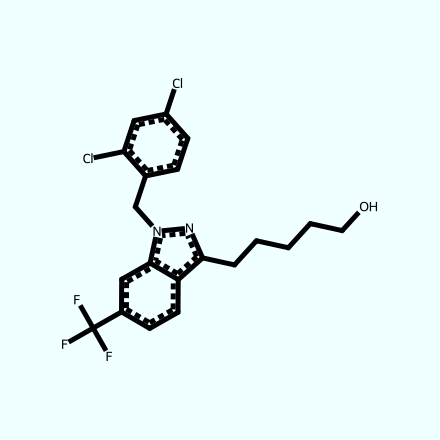 OCCCCCc1nn(Cc2ccc(Cl)cc2Cl)c2cc(C(F)(F)F)ccc12